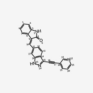 O=C1Nc2ccccc2C1=Cc1ccc2c(C#Cc3cccnc3)n[nH]c2c1